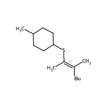 CCC(C)/C(C)=C(\C)SC1CCC(C)CC1